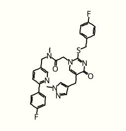 CN(Cc1ccc(-c2ccc(F)cc2)nc1)C(=O)Cn1cc(Cc2cnn(C)c2)c(=O)nc1SCc1ccc(F)cc1